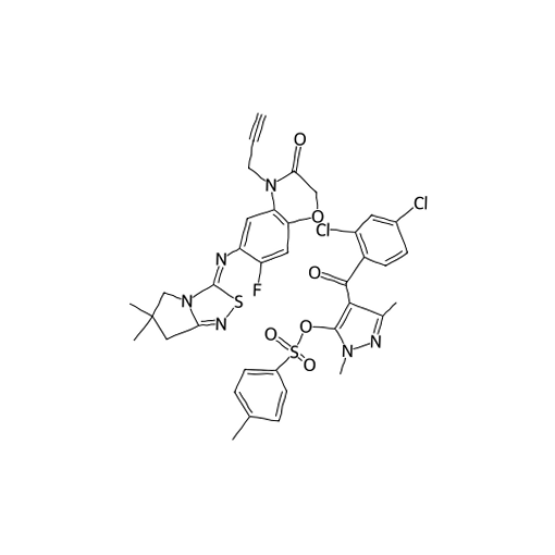 C#CCN1C(=O)COc2cc(F)c(/N=c3\snc4n3CC(C)(C)C4)cc21.Cc1ccc(S(=O)(=O)Oc2c(C(=O)c3ccc(Cl)cc3Cl)c(C)nn2C)cc1